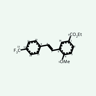 CCOC(=O)c1ccc(OC)c(/C=C/c2ccc(C(F)(F)F)cc2)c1